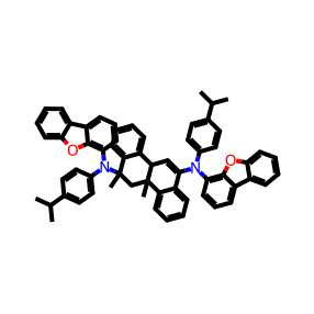 CC(C)c1ccc(N(C2=CC3c4ccccc4C(C)(N(c4ccc(C(C)C)cc4)c4cccc5c4oc4ccccc45)CC3(C)c3ccccc32)c2cccc3c2oc2ccccc23)cc1